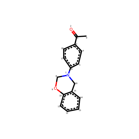 CC(=O)c1ccc(N2COc3ccccc3C2)cc1